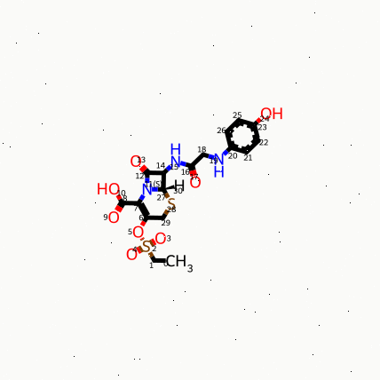 CCS(=O)(=O)OC1=C(C(=O)O)N2C(=O)C(NC(=O)CNc3ccc(O)cc3)[C@@H]2SC1